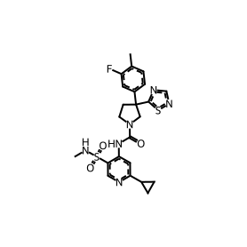 CNS(=O)(=O)c1cnc(C2CC2)cc1NC(=O)N1CCC(c2ccc(C)c(F)c2)(c2ncns2)C1